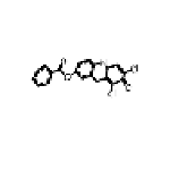 O=C1C(Cl)=CC2=Nc3ccc(OC(=O)c4ccccc4)cc3CC2=C1Cl